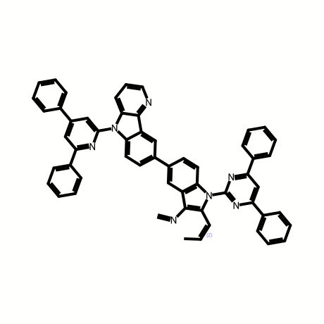 C=Nc1c(/C=C\C)n(-c2nc(-c3ccccc3)cc(-c3ccccc3)n2)c2ccc(-c3ccc4c(c3)c3ncccc3n4-c3cc(-c4ccccc4)cc(-c4ccccc4)n3)cc12